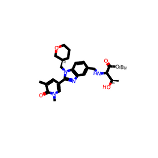 Cc1cc(-c2nc3cc(CNC(C(=O)OCC(C)C)[C@@H](C)O)ccc3n2C[C@@H]2CCCOC2)cn(C)c1=O